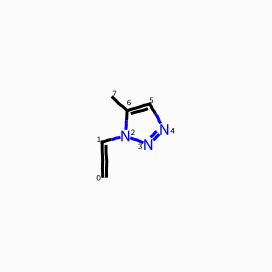 C=Cn1nncc1C